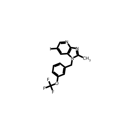 Cc1nc2ncc(I)cc2n1Cc1cccc(OC(F)(F)F)c1